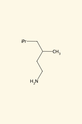 CC(C)CC(C)CCN